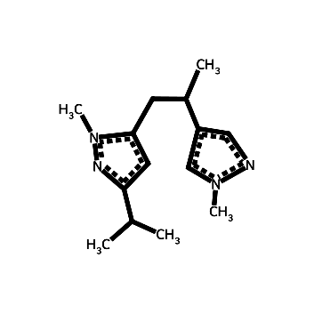 CC(C)c1cc(CC(C)c2cnn(C)c2)n(C)n1